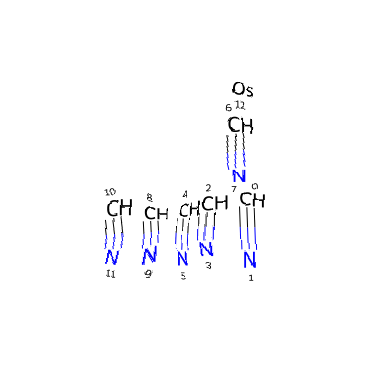 C#N.C#N.C#N.C#N.C#N.C#N.[Os]